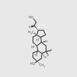 C[C@]1(O)CC[C@@H]2[C@H]3CC[C@]4(C)[C@@H](C(=O)CO)CC[C@H]4[C@@H]3CC(F)(F)[C@H]2C1